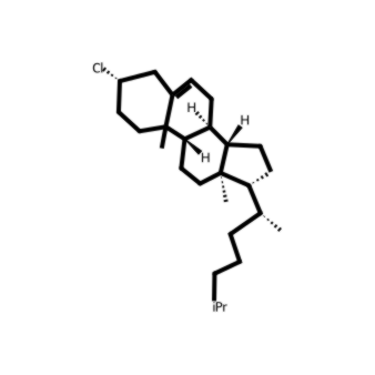 CC(C)CCC[C@@H](C)[C@H]1CC[C@H]2[C@@H]3CC=C4C[C@@H](Cl)CCC4(C)[C@H]3CC[C@]12C